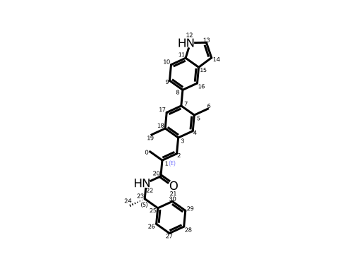 C/C(=C\c1cc(C)c(-c2ccc3[nH]ccc3c2)cc1C)C(=O)N[C@@H](C)c1ccccc1